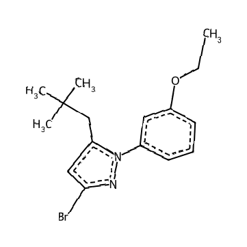 CCOc1cccc(-n2nc(Br)cc2CC(C)(C)C)c1